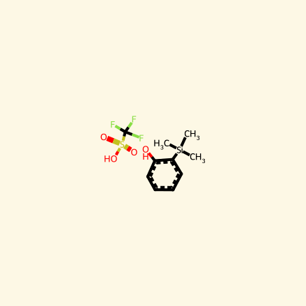 C[Si](C)(C)c1ccccc1O.O=S(=O)(O)C(F)(F)F